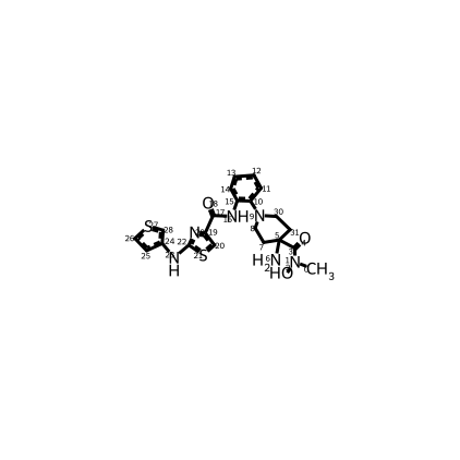 CN(O)C(=O)C1(N)CCN(c2ccccc2NC(=O)c2csc(Nc3ccsc3)n2)CC1